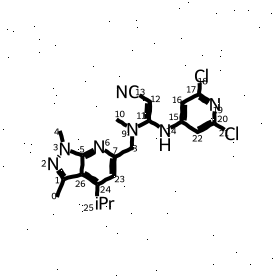 Cc1nn(C)c2nc(CN(C)/C(=C\C#N)Nc3cc(Cl)nc(Cl)c3)cc(C(C)C)c12